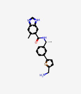 Cc1cc2nc[nH]c2cc1C(=O)N[C@H](C)c1cccc(-c2ccc(CN)s2)c1